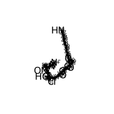 [N-]=[N+]=NCCC1([C@H](C/C=C/[C@@H]2[C@@H](C/C=C\CCCC(=O)OCCCOC(=O)c3cccc(OCCCCCCCCCCCCCCC=N)c3)[C@H](Cl)C[C@H]2O)N=O)CCC1